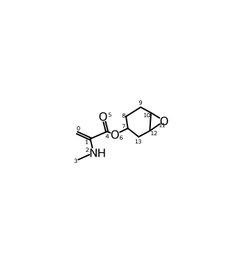 C=C(NC)C(=O)OC1CCC2OC2C1